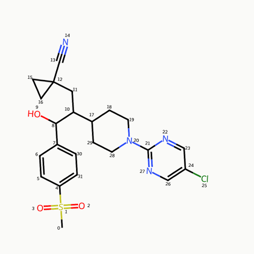 CS(=O)(=O)c1ccc(C(O)C(CC2(C#N)CC2)C2CCN(c3ncc(Cl)cn3)CC2)cc1